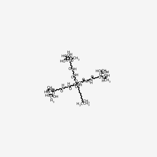 CC(=O)NC1C(OCCCCC(=O)NCCCNC(=O)CCOCC(COCCC(=O)NCCCNC(=O)CCCCOC(OC(CO)[C@H](C)O)[C@H](CO)NC(C)=O)(COCCC(=O)NCCCNC(=O)CCCCOC(OC(CO)[C@H](C)O)[C@H](CO)NC(C)=O)NC(=O)CCCCCCCCCCC(C)(C)C)OC(CO)C(O)C1O